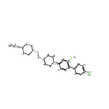 CCCCC[C@H]1CC[C@H](CC[C@H]2CC[C@H](c3ccc(-c4ccc(Cl)cc4)c(F)c3)CC2)CC1